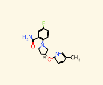 Cc1ccc(O[C@@H]2CCN(c3ccc(F)cc3C(N)=O)C2)nc1